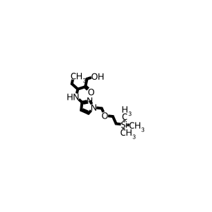 CCC(Nc1ccn(COCC[Si](C)(C)C)n1)C(=O)CO